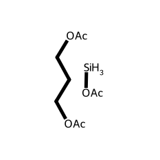 CC(=O)OCCCOC(C)=O.CC(=O)O[SiH3]